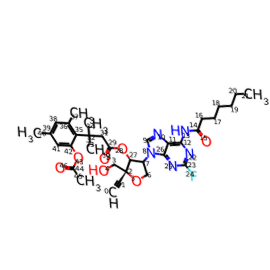 C#C[C@]1(CO)OCC(n2cnc3c(NC(=O)CCCCCC)nc(F)nc32)[C@@H]1OC(=O)CC(C)(C)c1c(C)cc(C)cc1OC(C)=O